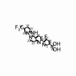 OC[C@@H](O)c1cnc(-c2ccc3c(Nc4ccc(C(F)(F)F)cn4)nccc3n2)c(F)c1